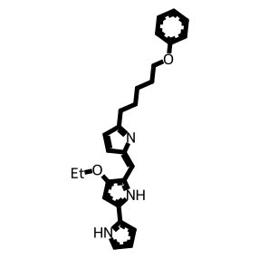 CCOc1cc(-c2ccc[nH]2)[nH]c1C=C1C=CC(CCCCCOc2ccccc2)=N1